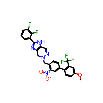 COc1ccc(-c2ccc(CN3Cc4nc(-c5cccc(F)c5F)[nH]c4C=N3)c([N+](=O)[O-])c2)c(C(F)(F)F)c1